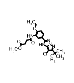 CCOc1ccc(-c2nn3nc(C(C)(C)C)c(Cl)c3[nH]2)cc1NC(=O)CCC(=O)OC